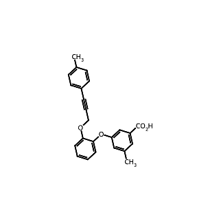 Cc1ccc(C#CCOc2ccccc2Oc2cc(C)cc(C(=O)O)c2)cc1